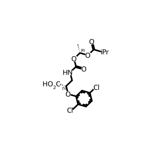 CC(C)C(=O)O[C@@H](C)OC(=O)NC[C@H](Oc1cc(Cl)ccc1Cl)C(=O)O